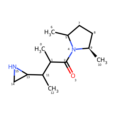 CC(C(=O)N1C(C)CC[C@H]1C)C(C)C1CN1